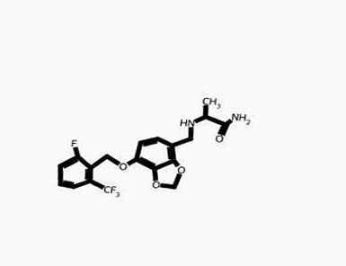 CC(NCc1ccc(OCc2c(F)cccc2C(F)(F)F)c2c1OCO2)C(N)=O